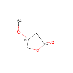 CC(=O)O[C@H]1COC(=O)C1